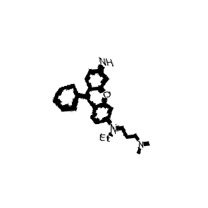 CCN(CCCN(C)C)c1ccc2c(-c3ccccc3)c3ccc(=N)cc-3oc2c1